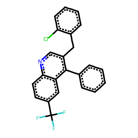 FC(F)(F)c1ccc2ncc(Cc3ccccc3Cl)c(-c3ccccc3)c2c1